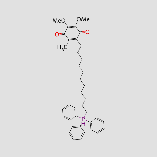 COC1=C(OC)C(=O)C(CCCCCCCCCCC[PH](c2ccccc2)(c2ccccc2)c2ccccc2)=C(C)C1=O